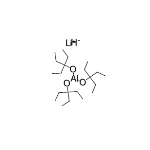 CCC(CC)(CC)[O][Al]([O]C(CC)(CC)CC)[O]C(CC)(CC)CC.[H-].[Li+]